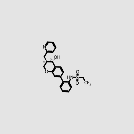 O=S(=O)(CC(F)(F)F)Nc1ccccc1-c1ccc2c(c1)OC[C@@H](Cc1ccccn1)[C@@H]2O